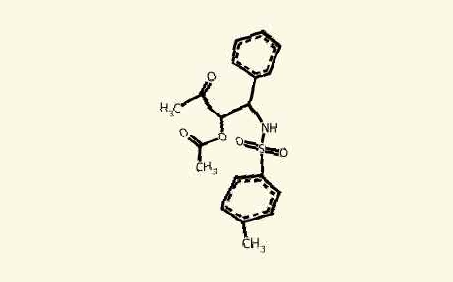 CC(=O)OC(C(C)=O)C(NS(=O)(=O)c1ccc(C)cc1)c1ccccc1